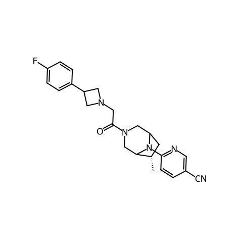 C[C@H]1CC2CN(C(=O)CN3CC(c4ccc(F)cc4)C3)CC1N2c1ccc(C#N)cn1